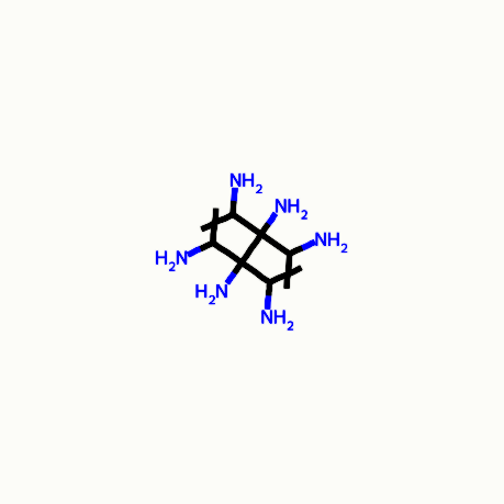 CC(N)C(N)(C(C)N)C(N)(C(C)N)C(C)N